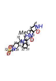 COc1cc(C)[nH]c(=O)c1CNC(=O)c1c(C)n([C@H](C)C2CCN(CS(C)(=O)=O)CC2)c2ccccc12